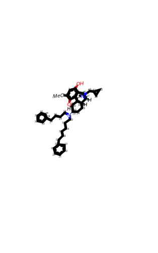 COc1cc(O)c2c3c1O[C@H]1[C@@H](N(CCCCCCc4ccccc4)CCCCc4ccccc4)CC[C@H]4[C@@H](C2)N(CC2CC2)CC[C@@]341